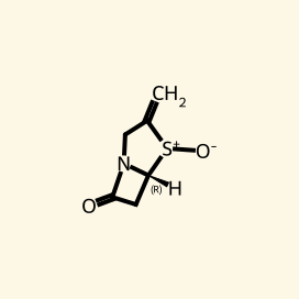 C=C1CN2C(=O)C[C@H]2[S+]1[O-]